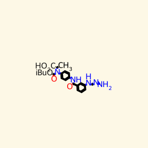 CC(C)COC(=O)N(c1ccc(NC(=O)c2cccc(NC=NN)c2)cc1)[C@@H](C)C(=O)O